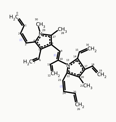 C=C/C=C\c1c(C=C)c(/C=C(\C=C)n2c(C=C)c(C=C)c(C)c2/C=C\C=C)c(C)n1C